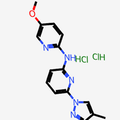 COc1ccc(Nc2cccc(-n3cc(C)cn3)n2)nc1.Cl.Cl